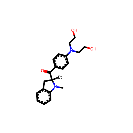 CCC1(C(=O)c2ccc(N(CCO)CCO)cc2)Cc2ccccc2N1C